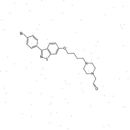 O=CCN1CCN(CCCCOc2ccc3c(-c4ccc(Br)cc4)nsc3c2)CC1